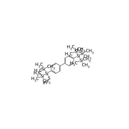 CC(C)S[Si](c1ccc(-c2ccc([Si]([Si](C)(C)C)([Si](C)(C)C)[Si](C)(C)C)cc2)cc1)([Si](C)(C)C)[Si](C)(C)C